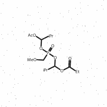 CCC(=O)OC(OP(=O)(COC)OC(OC(C)=O)C(C)C)C(C)C